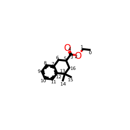 CCOC(=O)C1Cc2ccccc2C(C)(C)C1